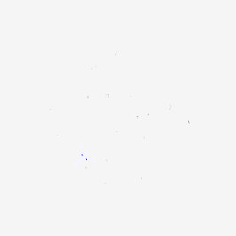 C=Cc1ccccc1.CCN(C)c1cccc2c1ccc1ccccc12